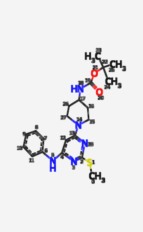 CSc1nc(Nc2ccccc2)cc(N2CCC(NC(=O)OC(C)(C)C)CC2)n1